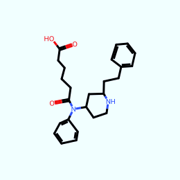 O=C(O)CCCCC(=O)N(c1ccccc1)C1CCNC(CCc2ccccc2)C1